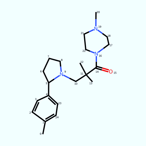 Cc1ccc(C2CCCN2CC(C)(C)C(=O)N2CCN(C)CC2)cc1